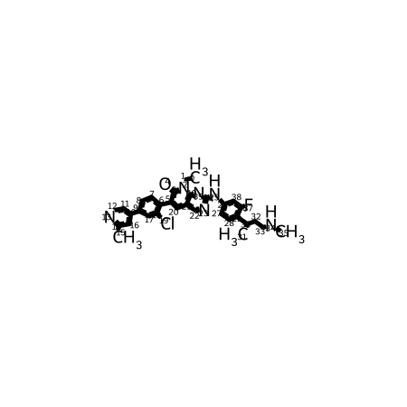 CCn1c(=O)c(-c2ccc(-c3ccnc(C)c3)cc2Cl)cc2cnc(Nc3ccc(C(C)CCNC)c(F)c3)nc21